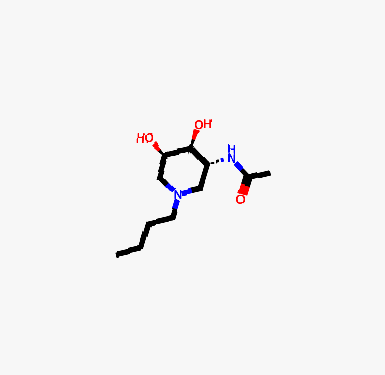 CCCCN1C[C@@H](O)[C@@H](O)[C@H](NC(C)=O)C1